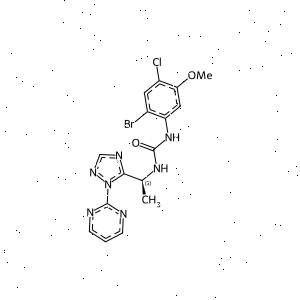 COc1cc(NC(=O)N[C@@H](C)c2ncnn2-c2ncccn2)c(Br)cc1Cl